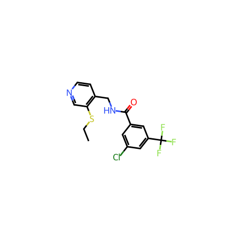 CCSc1cnccc1CNC(=O)c1cc(Cl)cc(C(F)(F)F)c1